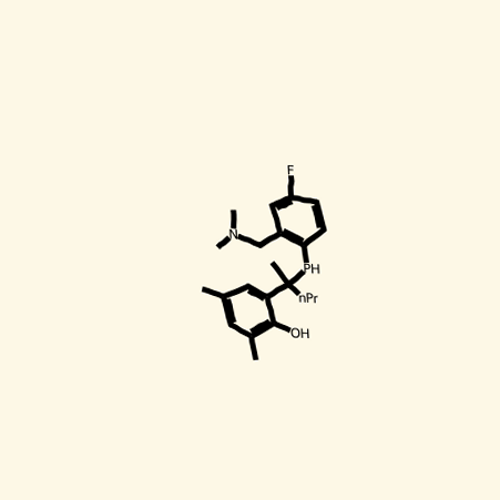 CCCC(C)(Pc1ccc(F)cc1CN(C)C)c1cc(C)cc(C)c1O